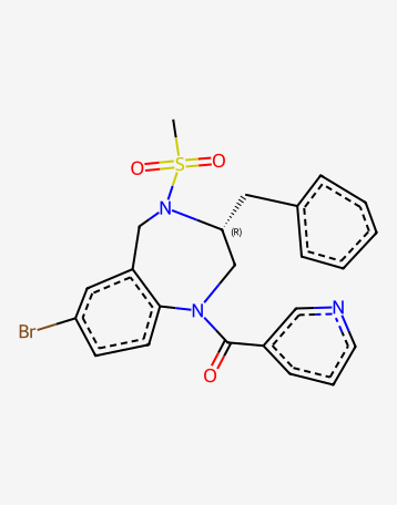 CS(=O)(=O)N1Cc2cc(Br)ccc2N(C(=O)c2cccnc2)C[C@H]1Cc1ccccc1